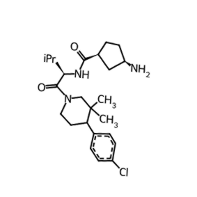 CC(C)[C@@H](NC(=O)[C@H]1CC[C@@H](N)C1)C(=O)N1CCC(c2ccc(Cl)cc2)C(C)(C)C1